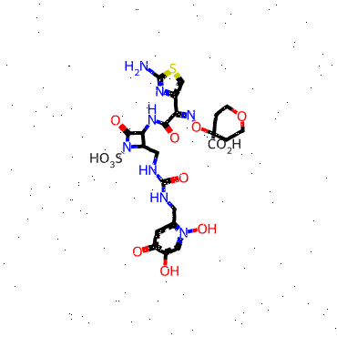 Nc1nc(/C(=N/OC2(C(=O)O)CCOCC2)C(=O)NC2C(=O)N(S(=O)(=O)O)C2CNC(=O)NCc2cc(=O)c(O)cn2O)cs1